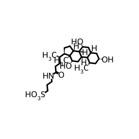 C[C@@H]1C[C@@H](O)C[C@H]2C[C@@H](O)[C@@H]3[C@H](C[C@H](O)[C@]4(C)[C@@H]([C@H](C)CCC(=O)NCCCS(=O)(=O)O)CC[C@@H]34)C21